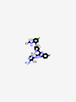 CC(Nc1ncnc(N)c1C#N)c1nc2ccc(F)cc2nc1-c1ccccn1.CCC(Nc1ccc(F)cc1[N+](=O)[O-])C(=O)O